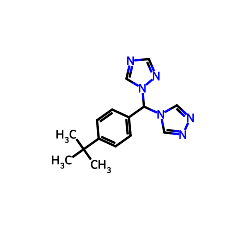 CC(C)(C)c1ccc(C(n2cnnc2)n2cncn2)cc1